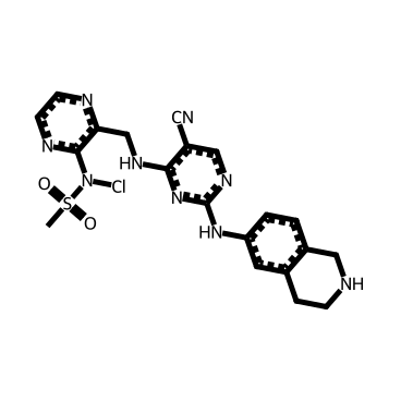 CS(=O)(=O)N(Cl)c1nccnc1CNc1nc(Nc2ccc3c(c2)CCNC3)ncc1C#N